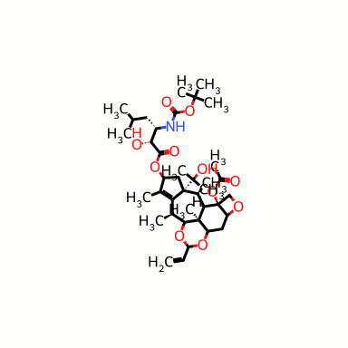 C=CC1OC2CC3OC[C@@]3(OC(C)=O)[C@H]3[C@H](C)[C@]4(C(C)(C)O)CC(OC(=O)[C@H](O)[C@H](CC(C)C)NC(=O)OC(C)(C)C)C(C)=C4[C@H](C)C(O1)[C@]23C